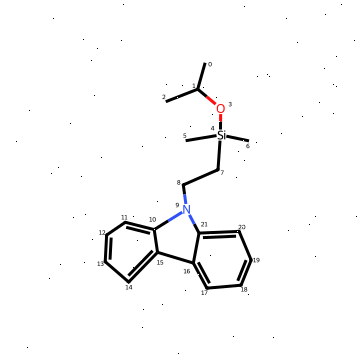 CC(C)O[Si](C)(C)CCn1c2ccccc2c2ccccc21